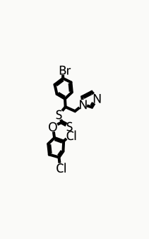 S=C(Oc1ccc(Cl)cc1Cl)SC(Cn1ccnc1)c1ccc(Br)cc1